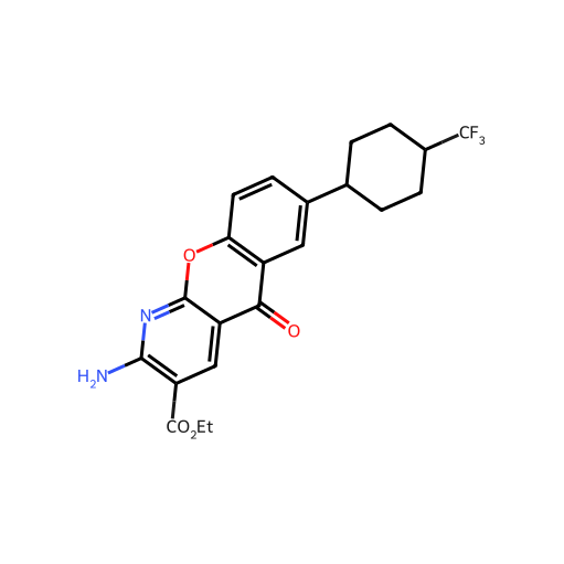 CCOC(=O)c1cc2c(=O)c3cc(C4CCC(C(F)(F)F)CC4)ccc3oc2nc1N